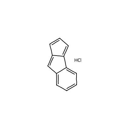 C1=CC2=Cc3ccccc3C2=C1.Cl